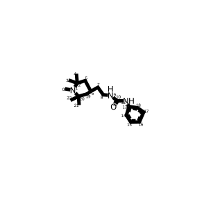 CN1C(C)(C)CC(CCNC(=O)Nc2ccccc2)CC1(C)C